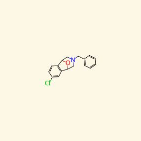 Clc1ccc2c(c1)C1CN(Cc3ccccc3)CC2O1